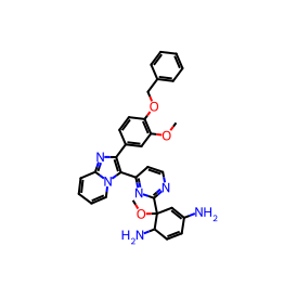 COc1cc(-c2nc3ccccn3c2-c2ccnc(C3(OC)C=C(N)C=CC3N)n2)ccc1OCc1ccccc1